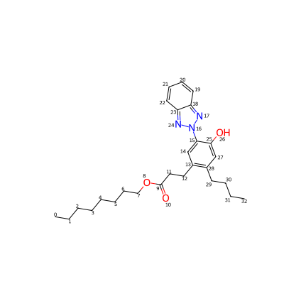 CCCCCCCCOC(=O)CCc1cc(-n2nc3ccccc3n2)c(O)cc1CCCC